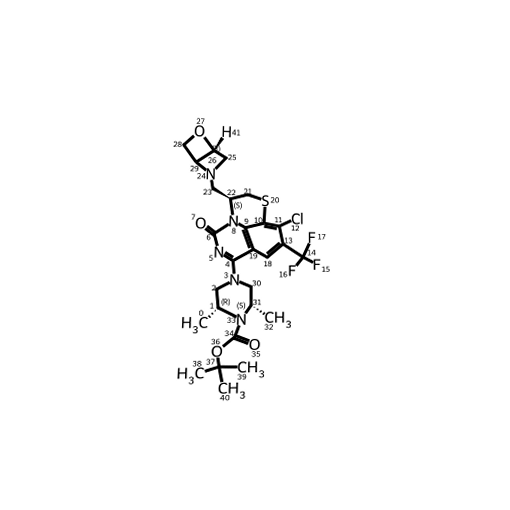 C[C@@H]1CN(c2nc(=O)n3c4c(c(Cl)c(C(F)(F)F)cc24)SC[C@@H]3CN2C[C@H]3OCC32)C[C@H](C)N1C(=O)OC(C)(C)C